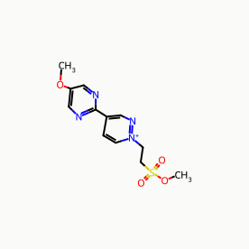 COc1cnc(-c2cc[n+](CCS(=O)(=O)OC)nc2)nc1